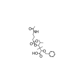 CC(=O)NCCCS(=O)(=O)OC(C(C)C)C(C)(C)[C@@H](OCc1ccccc1)C(=O)O